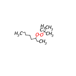 CCCCCC(CC)OOC(C)(C)C